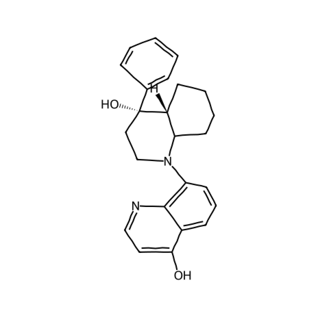 Oc1ccnc2c(N3CC[C@@](O)(c4ccccc4)[C@@H]4CCCCC43)cccc12